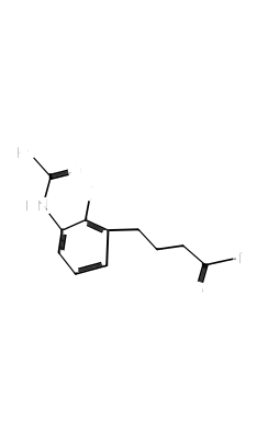 CC(C)C(=O)CCCc1cccc(NC(=O)C(C)C)c1Cl